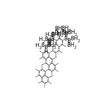 BBB(B(B)B)c1c(B(B(B)B)B(B)B)c(C)c2c(C)c(C)c(-c3c(C)c(C)c(C)c4c(C)c5c(-c6c(C)c(C)c(C)c7c(C)c(C)c(C)c(C)c67)c(C)c(C)c(C)c5c(C)c34)c(B(B)BB)c2c1B(B)B(B)B